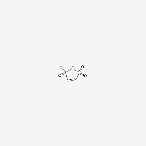 O=S1(=O)C=CS(=O)(=O)O1